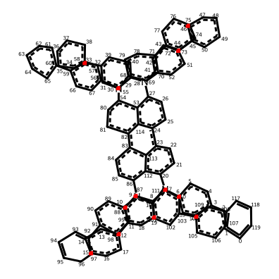 C1=C=C(c2ccc(N(c3ccc(-c4ccccc4)cc3)c3ccc4c5ccc(N(c6ccc(-c7ccccc7)cc6)c6ccc(-c7ccccc7)cc6)c6c(N(c7ccc(-c8ccccc8)cc7)c7ccc(-c8ccccc8)cc7)ccc(c7ccc(N(c8ccc(C9=CC=CCC9)cc8)c8ccc(-c9ccccc9)cc8)c3c47)c65)cc2)C=CC=1